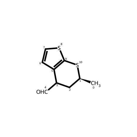 C[C@H]1CC(C=O)c2ccsc2S1